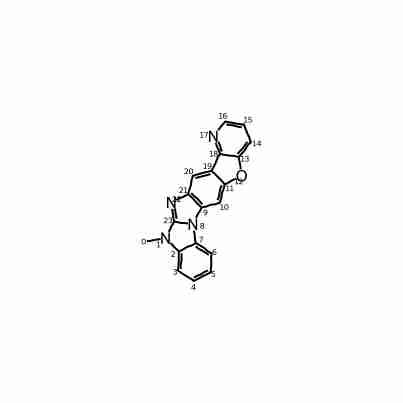 Cn1c2ccccc2n2c3cc4oc5cccnc5c4cc3nc12